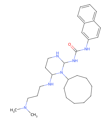 CN(C)CCCNC1CCNC(NC(=O)Nc2ccc3ccccc3c2)N1C1CCCCCCCC1